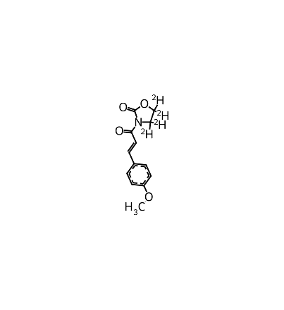 [2H]C1([2H])OC(=O)N(C(=O)/C=C/c2ccc(OC)cc2)C1([2H])[2H]